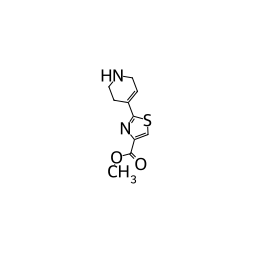 COC(=O)c1csc(C2=CCNCC2)n1